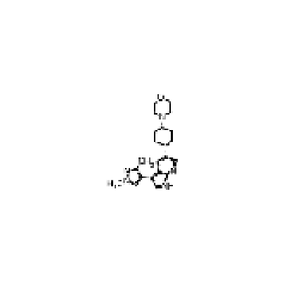 Cc1nn(C)cc1-c1c[nH]c2ncc([C@H]3CC[C@@H](N4CCOCC4)CC3)cc12